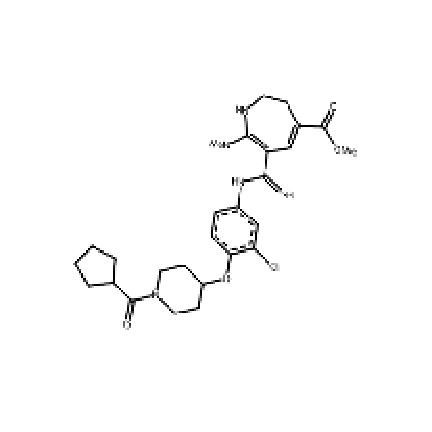 CNC1=C(C(=N)Nc2ccc(OC3CCN(C(=O)C4CCCC4)CC3)c(Cl)c2)C=C(C(=O)OC)CCN1